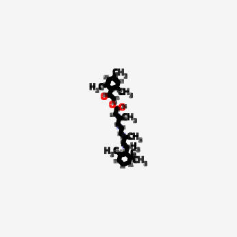 CC1=C(/C=C/C(C)=C/C=C/C(C)=C/C(=O)OCC(=O)c2c(C)cc(C)cc2C)C(C)(C)CCC1